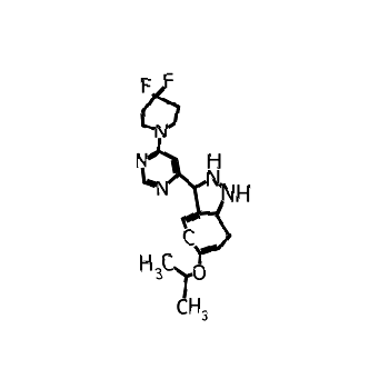 CC(C)OC1=CCC2NNC(c3cc(N4CCC(F)(F)CC4)ncn3)C2=CC1